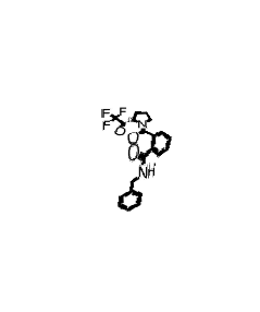 O=C(NCc1ccccc1)c1ccccc1C(=O)N1CCC[C@H]1C(=O)C(F)(F)F